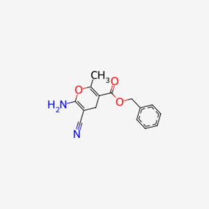 CC1=C(C(=O)OCc2ccccc2)CC(C#N)=C(N)O1